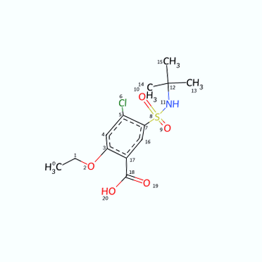 CCOc1cc(Cl)c(S(=O)(=O)NC(C)(C)C)cc1C(=O)O